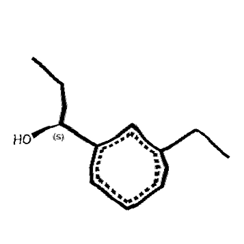 CCc1cccc([C@@H](O)CC)c1